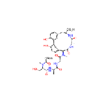 CCCCCCCCCC(=O)N(C)[C@H](CO)C(=O)N[C@H](C)C(=O)NCC(=O)N(C)[C@@H]1C(=O)N[C@@H](C)C(=O)N[C@H](C(=O)O)Cc2ccc(O)c(c2)-c2cc1ccc2O